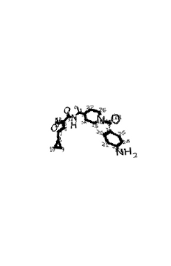 C[C@H](NC(=O)c1cc(C2CC2)on1)C1CCN(C(=O)[C@H]2CC[C@H](N)CC2)CC1